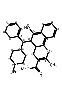 COC(=O)C1=C(C)OC2=c3ccccc3=C(O)C(C(C3=CC=NCC3)N3CCN(C(C)C)CC3)C2C1